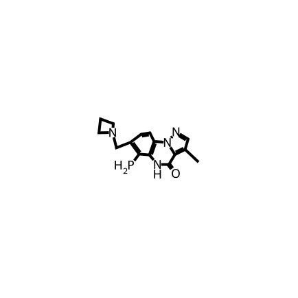 Cc1cnn2c1c(=O)[nH]c1c(P)c(CN3CCC3)ccc12